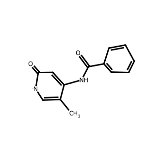 CC1=C[N]C(=O)C=C1NC(=O)c1ccccc1